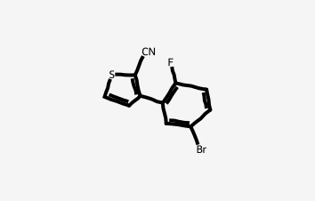 N#Cc1sccc1-c1cc(Br)ccc1F